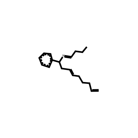 C=CCCCC=CCC(N=CCCC)c1ccccc1